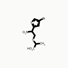 CC(SCC(c1cc(Br)cs1)[N+](=O)[O-])C(=O)O